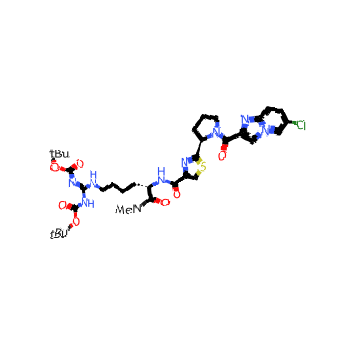 CNC(=O)[C@H](CCCCN/C(=N\C(=O)OC(C)(C)C)NC(=O)OC(C)(C)C)NC(=O)c1csc([C@H]2CCCN2C(=O)c2cn3cc(Cl)ccc3n2)n1